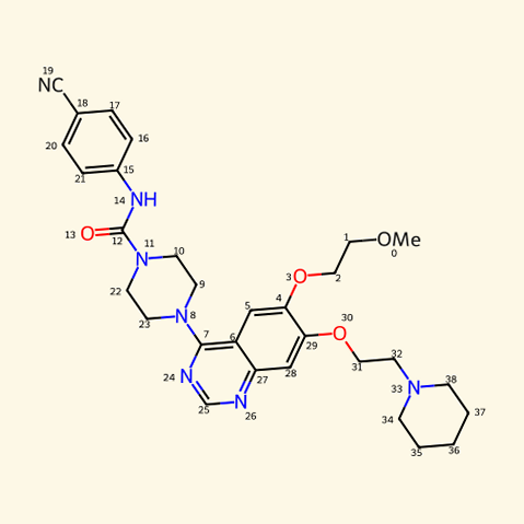 COCCOc1cc2c(N3CCN(C(=O)Nc4ccc(C#N)cc4)CC3)ncnc2cc1OCCN1CCCCC1